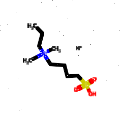 CCC[N+](C)(C)CCCCS(=O)(=O)O.[H+]